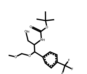 COCOC(c1ccc(C(F)(F)F)cc1)C(CO)NC(=O)OC(C)(C)C